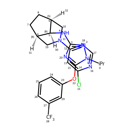 CC(C)n1nc(N[C@H]2[C@@H]3CC[C@H]2CN(c2cc(Cl)ncn2)C3)nc1Oc1cccc(C(F)(F)F)c1